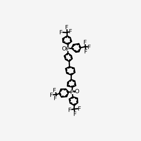 O=P(c1ccc(-c2ccc(-c3ccc(P(=O)(c4ccc(C(F)(F)F)cc4)c4ccc(C(F)(F)F)cc4)cc3)cc2)cc1)(c1ccc(C(F)(F)F)cc1)c1ccc(C(F)(F)F)cc1